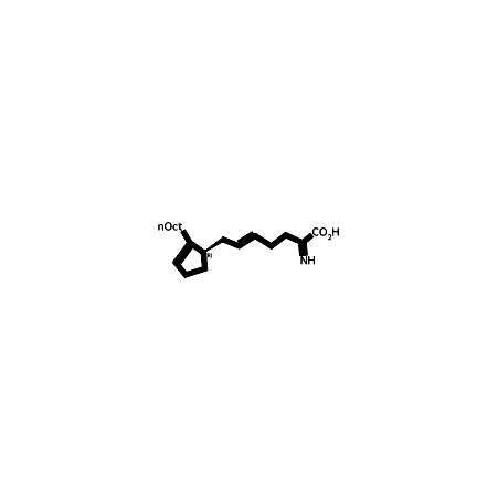 CCCCCCCCC1=CCC[C@@H]1CC=CCCC(=N)C(=O)O